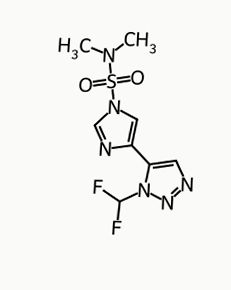 CN(C)S(=O)(=O)n1cnc(-c2cnnn2C(F)F)c1